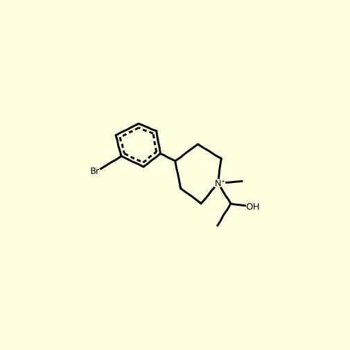 CC(O)[N+]1(C)CCC(c2cccc(Br)c2)CC1